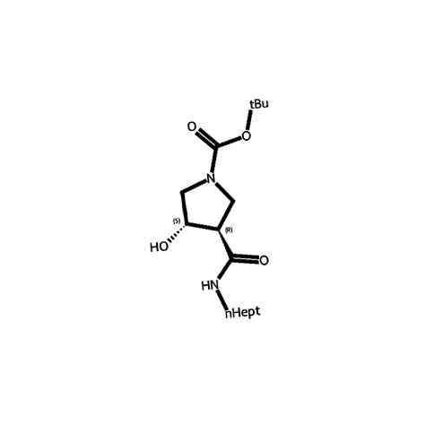 CCCCCCCNC(=O)[C@@H]1CN(C(=O)OC(C)(C)C)C[C@H]1O